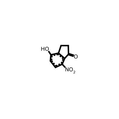 O=C1CCc2c(O)ccc([N+](=O)[O-])c21